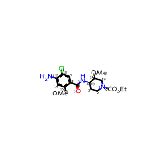 CCOC(=O)N1CC[C@@H](NC(=O)c2cc(Cl)c(N)cc2OC)[C@@H](OC)C1